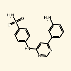 Nc1cccc(-c2cc(Nc3ccc(S(N)(=O)=O)cc3)ncn2)c1